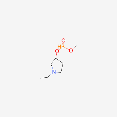 CCN1CCC(O[PH](=O)OC)C1